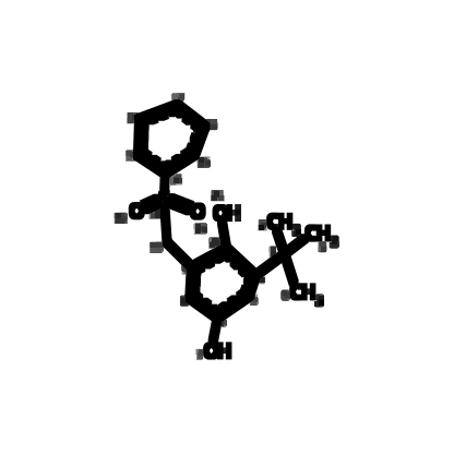 CC(C)(C)c1cc(O)cc(CS(=O)(=O)c2ccccc2)c1O